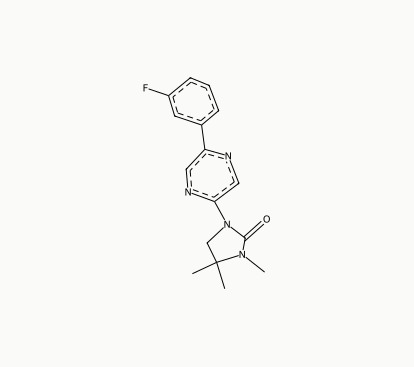 CN1C(=O)N(c2cnc(-c3cccc(F)c3)cn2)CC1(C)C